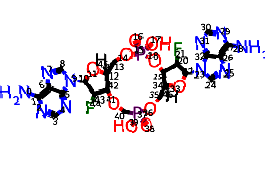 Nc1ncnc2c1ncn2[C@@H]1O[C@@H]2COP(=O)(O)OC3C(F)[C@H](n4cnc5c(N)ncnc54)O[C@@H]3COP(=O)(O)COC2C1F